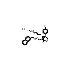 O=C(O)COC/C=C/C[C@H]1[C@H](COOCc2ccc3ccccc3c2)[C@@H]2C[C@@]1(c1ccc(F)cc1)CO2